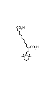 CC1(C)CCCC(C)(C)N1CCC(CCCCCCCCCC(=O)O)C(=O)O